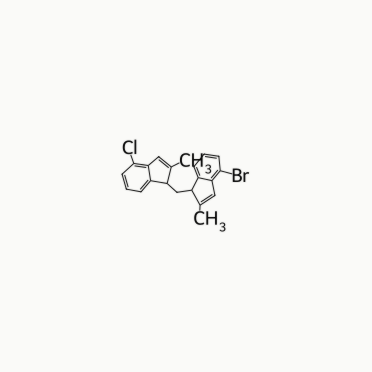 CC1=Cc2c(Cl)cccc2C1CC1C(C)=Cc2c(Br)cccc21